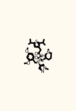 COc1ccc(CN(c2cnn(C)c2)S(=O)(=NC2CCCN(C)C2)NC(=O)Cc2cc(C(C)C)sc2C(C)C)c(OC)c1